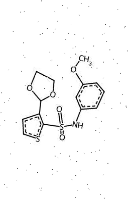 COc1cccc(NS(=O)(=O)c2sccc2C2OCCO2)c1